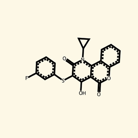 O=c1oc2ccccc2c2c1c(O)c(Sc1cccc(F)c1)c(=O)n2C1CC1